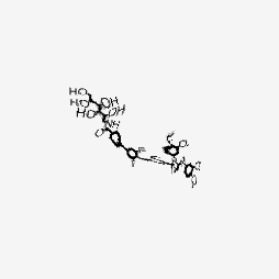 COc1cc(-n2c(N(C)c3ccc(OC)c(OC)c3)cnc2SCc2c(F)cc(-c3ccc(C(=O)NC[C@H](O)[C@@H](O)[C@H](O)C(O)CO)cc3)cc2F)ccc1F